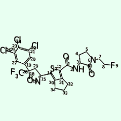 O=C(NC1CCN(CCF)C1=O)c1sc(C2=NOC(c3cc(Cl)c(Cl)c(Cl)c3)(C(F)(F)F)C2)c2c1CCC2